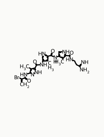 C=C(Br)C(=O)Nc1n[nH]c(C(=O)Nc2c[nH]c(C(=O)Nc3c[nH]c(C(=O)NCCC(=N)N)c3C)c2C)c1C